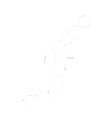 CN(C)C/C=C/C(=O)N1CCC(Cn2c(=O)n(-c3ccc(Oc4ccccc4)cc3)c3c(N)ncnc32)CC1